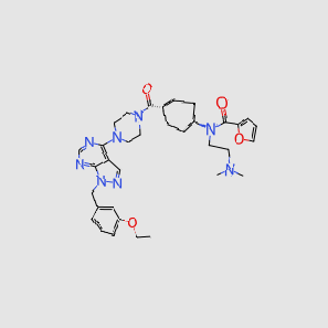 CCOc1cccc(Cn2ncc3c(N4CCN(C(=O)[C@H]5CC[C@H](N(CCN(C)C)C(=O)c6ccco6)CC5)CC4)ncnc32)c1